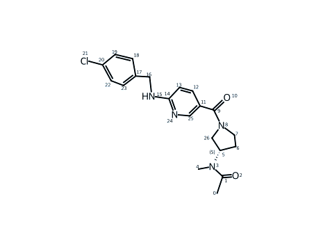 CC(=O)N(C)[C@H]1CCN(C(=O)c2ccc(NCc3ccc(Cl)cc3)nc2)C1